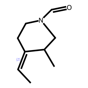 C/C=C1/CCN(C=O)CC1C